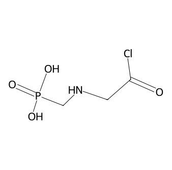 O=C(Cl)CNCP(=O)(O)O